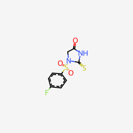 O=C1CN(S(=O)(=O)c2ccc(F)cc2)C(=S)N1